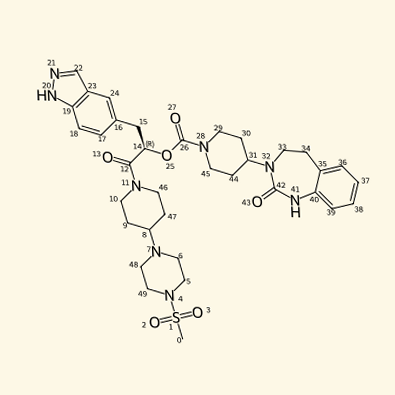 CS(=O)(=O)N1CCN(C2CCN(C(=O)[C@@H](Cc3ccc4[nH]ncc4c3)OC(=O)N3CCC(N4CCc5ccccc5NC4=O)CC3)CC2)CC1